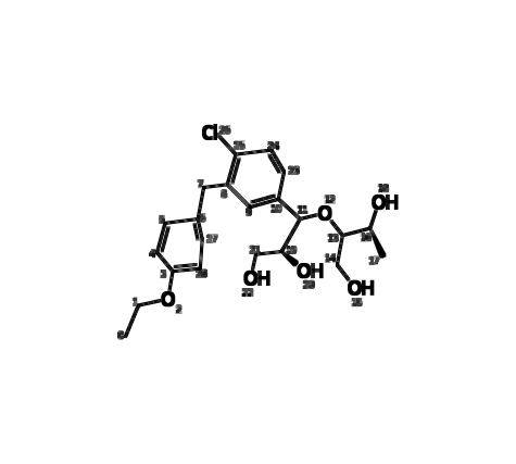 CCOc1ccc(Cc2cc(C(OC(CO)[C@H](C)O)[C@@H](O)CO)ccc2Cl)cc1